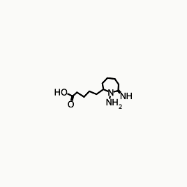 N=C1CCCCC(CCCCC(=O)O)N1N